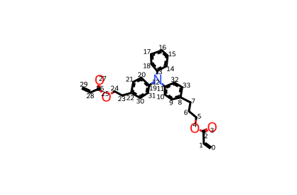 C=CC(=O)OCCCc1ccc(N(c2ccccc2)c2ccc(CCOC(=O)C=C)cc2)cc1